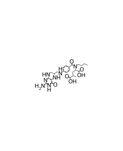 CCCCN(C(=O)c1ccc(NCC2CNc3nc(N)[nH]c(=O)c3N2)cc1)C(CC(C)C(=O)O)C(=O)O